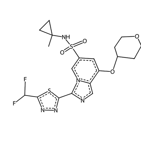 CC1(NS(=O)(=O)c2cc(OC3CCOCC3)c3cnc(-c4nnc(C(F)F)s4)n3c2)CC1